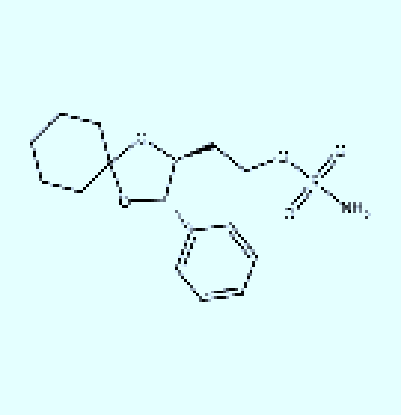 NS(=O)(=O)OCC[C@@H]1OC2(CCCCC2)O[C@H]1c1ccccc1